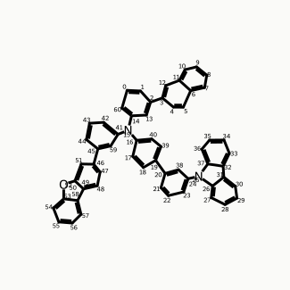 c1cc(-c2ccc3ccccc3c2)cc(N(c2ccc(-c3cccc(-n4c5ccccc5c5ccccc54)c3)cc2)c2cccc(-c3ccc4c(c3)oc3ccccc34)c2)c1